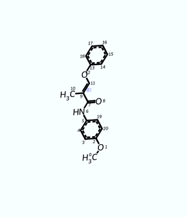 COc1ccc(NC(=O)/C(C)=C/Oc2ccccc2)cc1